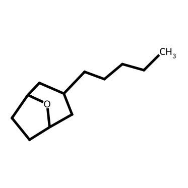 CCCCCC1CC2CCC(C1)O2